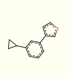 c1cc([C]2CC2)cc(-c2ccsc2)c1